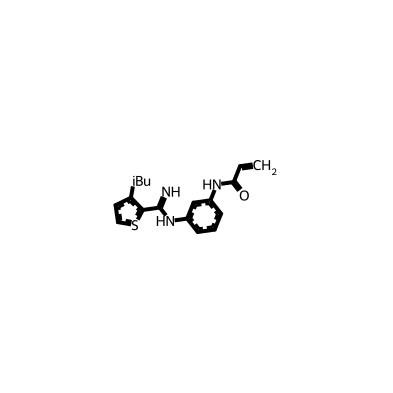 C=CC(=O)Nc1cccc(NC(=N)c2sccc2C(C)CC)c1